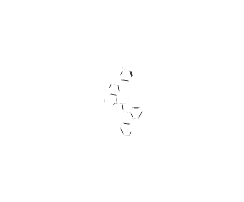 c1cc(-c2cnc3[nH]nc(-c4cc5c(-c6ccccn6)cccc5[nH]4)c3c2)cnc#1